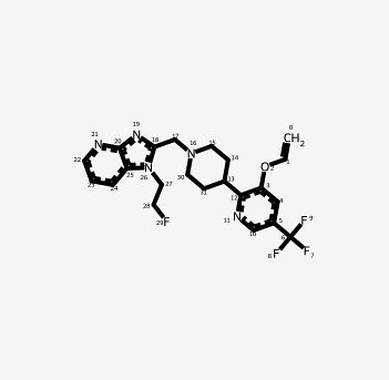 C=COc1cc(C(F)(F)F)cnc1C1CCN(Cc2nc3ncccc3n2CCF)CC1